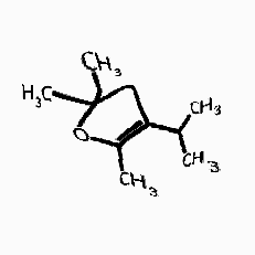 CC1=C(C(C)C)CC(C)(C)O1